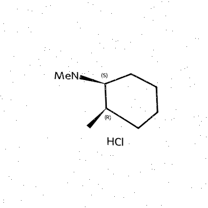 CN[C@H]1CCCC[C@H]1C.Cl